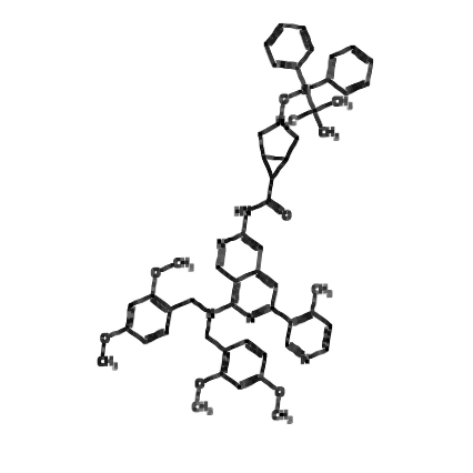 COc1ccc(CN(Cc2ccc(OC)cc2OC)c2nc(-c3cnccc3C)cc3cc(NC(=O)C4C5CC(O[Si](c6ccccc6)(c6ccccc6)C(C)(C)C)CC54)ncc23)c(OC)c1